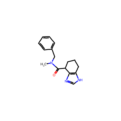 CN(Cc1ccccc1)C(=O)C1CCCc2[nH]cnc21